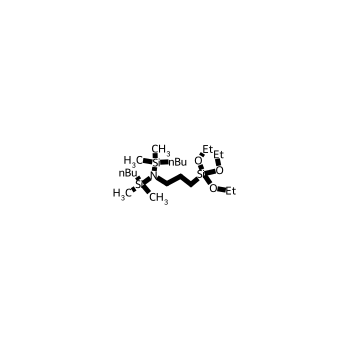 CCCC[Si](C)(C)N(CCC[Si](OCC)(OCC)OCC)[Si](C)(C)CCCC